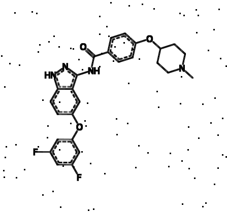 CN1CCC(Oc2ccc(C(=O)Nc3n[nH]c4ccc(Oc5cc(F)cc(F)c5)cc34)cc2)CC1